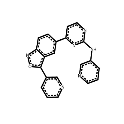 c1cncc(Nc2nccc(-c3ccc4noc(-c5cccnc5)c4c3)n2)c1